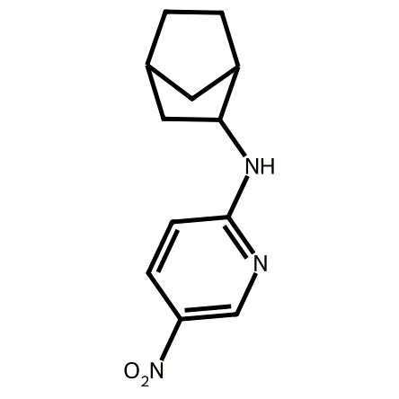 O=[N+]([O-])c1ccc(NC2CC3CCC2C3)nc1